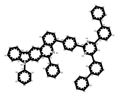 c1ccc(-c2cccc(-c3cc(-c4cccc(-c5ccccc5)c4)nc(-c4ccc(-c5cccc6c5nc(-c5ccccc5)c5cc7c(cc56)c5ccccc5n7-c5ccccc5)cc4)n3)c2)cc1